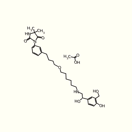 CC(=O)O.CC1(C)NC(=O)N(c2cccc(CCCCOCCCCCCNC[C@H](O)c3ccc(O)c(CO)c3)c2)C1=O